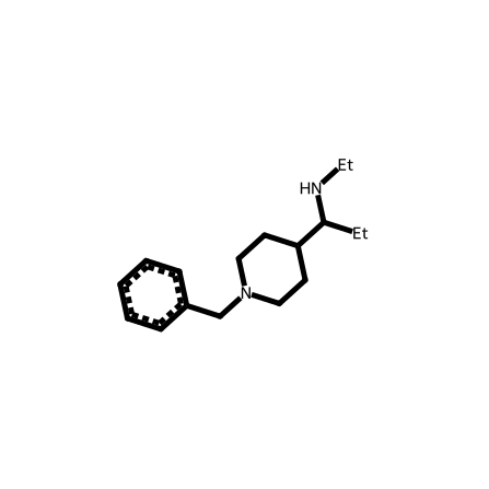 CCNC(CC)C1CCN(Cc2ccccc2)CC1